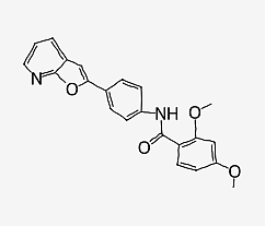 COc1ccc(C(=O)Nc2ccc(-c3cc4cccnc4o3)cc2)c(OC)c1